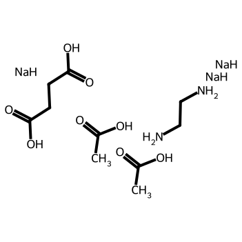 CC(=O)O.CC(=O)O.NCCN.O=C(O)CCC(=O)O.[NaH].[NaH].[NaH]